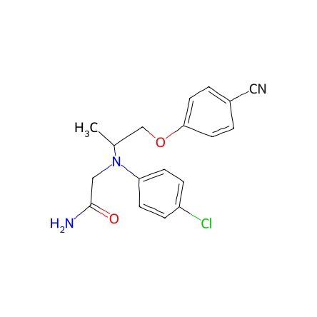 CC(COc1ccc(C#N)cc1)N(CC(N)=O)c1ccc(Cl)cc1